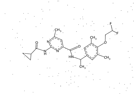 Cc1cc(C(=O)NC(C)c2cc(C)c(OCC(F)F)c(C)c2)nc(NC(=O)C2CC2)n1